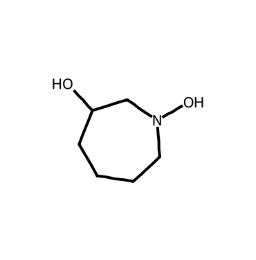 OC1CCCCN(O)C1